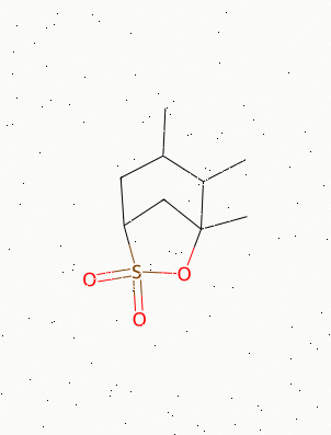 CC1CC2CC(C)(OS2(=O)=O)C1C